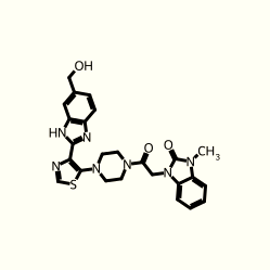 Cn1c(=O)n(CC(=O)N2CCN(c3scnc3-c3nc4ccc(CO)cc4[nH]3)CC2)c2ccccc21